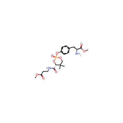 COC(=O)CCNC(=O)[C@@H]1OP(=O)(Oc2ccc(C[C@H](N)C(=O)OC)cc2)OCC1(C)C